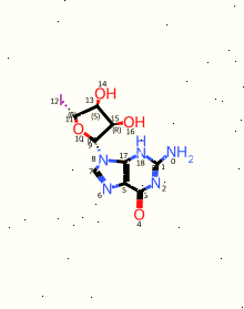 Nc1nc(=O)c2ncn([C@@H]3O[C@H](I)[C@@H](O)[C@H]3O)c2[nH]1